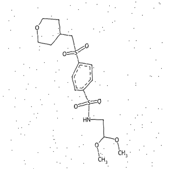 COC(CNS(=O)(=O)c1ccc(S(=O)(=O)CC2CCOCC2)cc1)OC